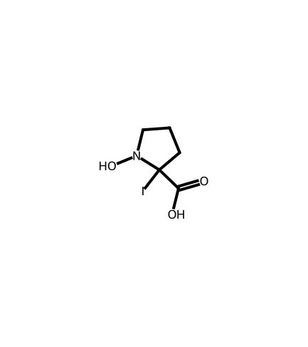 O=C(O)C1(I)CCCN1O